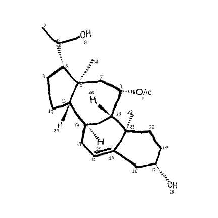 CC(=O)O[C@H]1C[C@]2(C)[C@@H](C(C)O)CC[C@H]2[C@@H]2CC=C3C[C@@H](O)CC[C@]3(C)[C@H]21